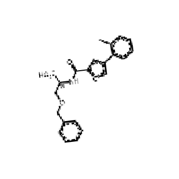 O=C(N[C@@H](COCc1ccccc1)C(=O)O)c1cc(-c2ccccc2F)co1